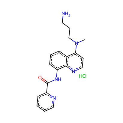 CN(CCCN)c1ccnc2c(NC(=O)c3ccccn3)cccc12.Cl